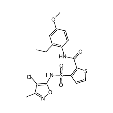 CCc1cc(OC)ccc1NC(=O)c1sccc1S(=O)(=O)Nc1onc(C)c1Cl